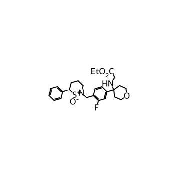 CCOC(=O)CNC1(c2ccc(CN3CCC[C@H](c4ccccc4)[S+]3[O-])c(F)c2)CCOCC1